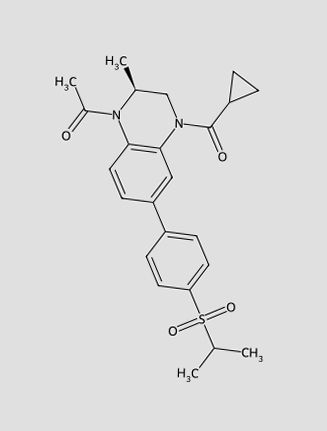 CC(=O)N1c2ccc(-c3ccc(S(=O)(=O)C(C)C)cc3)cc2N(C(=O)C2CC2)C[C@@H]1C